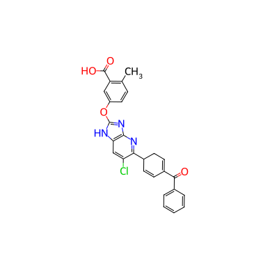 Cc1ccc(Oc2nc3nc(C4C=CC(C(=O)c5ccccc5)=CC4)c(Cl)cc3[nH]2)cc1C(=O)O